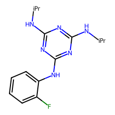 CC(C)Nc1nc(Nc2ccccc2F)nc(NC(C)C)n1